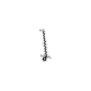 CCCCCCCCCCCCCCCCCCCCC(C)(C)c1ccccc1